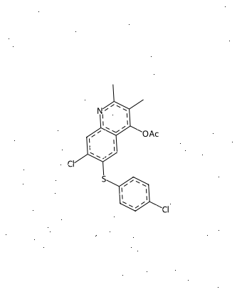 CC(=O)Oc1c(C)c(C)nc2cc(Cl)c(Sc3ccc(Cl)cc3)cc12